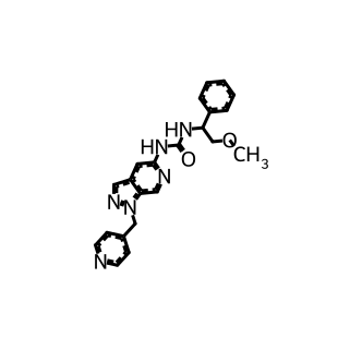 COCC(NC(=O)Nc1cc2cnn(Cc3ccncc3)c2cn1)c1ccccc1